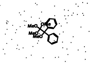 COC(OC)(OC)C(OC)(c1ccccc1)c1ccccc1